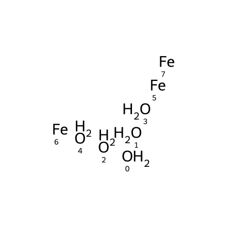 O.O.O.O.O.[Fe].[Fe].[Fe]